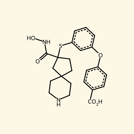 O=C(O)c1ccc(Oc2cccc(SC3(C(=O)NO)CCC4(CCNCC4)C3)c2)cc1